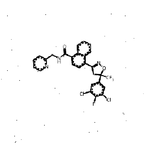 O=C(NCc1ccccn1)c1ccc(C2=NOC(c3cc(Cl)c(F)c(Cl)c3)(C(F)(F)F)C2)c2ccccc12